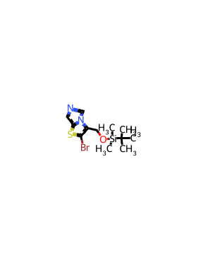 CC(C)(C)[Si](C)(C)OCc1c(Br)sc2cncn12